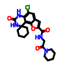 O=C1Nc2c(Cl)cc3cc(C(=O)NCC(=O)N4CCCCC4)oc3c2C2(CCCCC2)N1